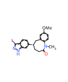 COc1ccc2c(c1)C[C@H](c1ccc3c(I)n[nH]c3c1)CCC(=O)N2C